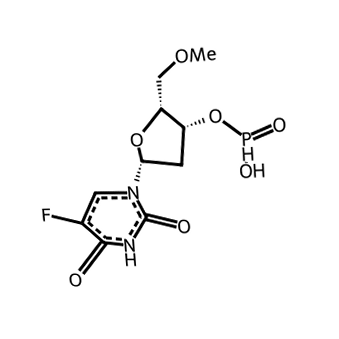 COC[C@H]1O[C@@H](n2cc(F)c(=O)[nH]c2=O)C[C@H]1O[PH](=O)O